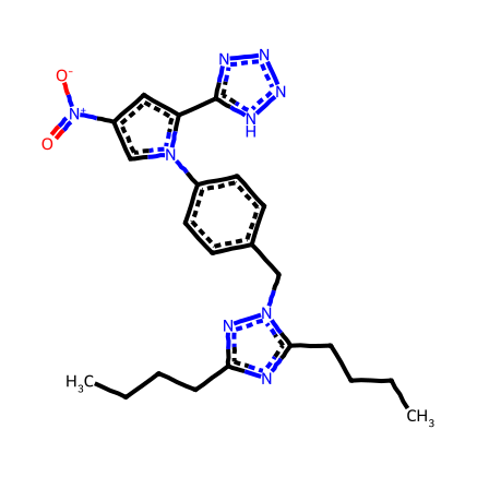 CCCCc1nc(CCCC)n(Cc2ccc(-n3cc([N+](=O)[O-])cc3-c3nnn[nH]3)cc2)n1